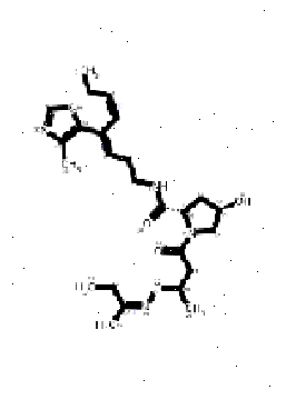 CC/C=C\C(=C/CCNC(=O)[C@@H]1C[C@@H](O)CN1C(=O)CC(C)O/N=C(/C)CC)c1scnc1C